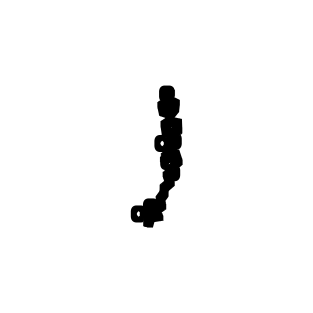 C=C1CC(CCCCCCOc2ccc(C(=O)Oc3ccc(-c4ccc(OC)cc4)cc3)cc2)OC1=O